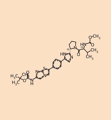 COC(=O)N[C@H](C(=O)N1CCC[C@H]1c1ncc(-c2ccc(-c3cn4cc(NC(=O)OC(C)(C)C)nc4s3)cc2)[nH]1)C(C)C